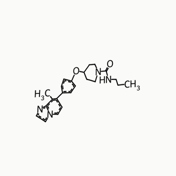 CCCNC(=O)N1CCC(Oc2ccc(-c3ccn4ccnc4c3C)cc2)CC1